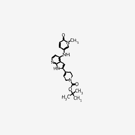 Cn1cc(Nc2ccnc3[nH]c(C4=CCN(C(=O)OC(C)(C)C)CC4)cc23)ccc1=O